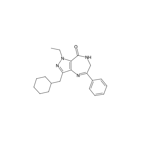 CCn1nc(CC2CCCCC2)c2c1C(=O)NCC(c1ccccc1)=N2